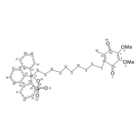 COC1=C(OC)C(=O)C(CCCCCCCCCCP(OS(C)(=O)=O)(c2ccccc2)(c2ccccc2)c2ccccc2)=C(C)C1=O